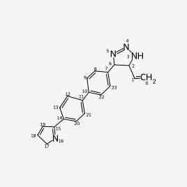 C=CC1NN=NC1c1ccc(-c2ccc(C3=NCC=C3)cc2)cc1